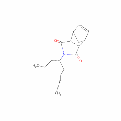 CCCCC(CCC)N1C(=O)C2C3C=CC(C3)C2C1=O